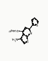 CCCCCc1cc(-c2cccs2)nc2scc(N)c12